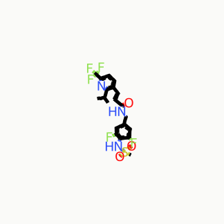 CC(C)c1nc(C(F)(F)F)ccc1C=CC(=O)NCc1cc(F)c(NS(C)(=O)=O)c(F)c1